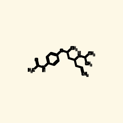 C=CCC(CC(C)Oc1ccc(NC(C)=O)cc1)NC(C)C